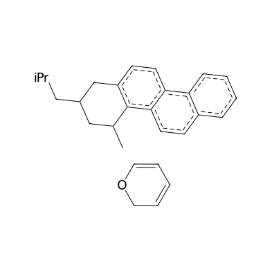 C1=CCOC=C1.CC(C)CC1Cc2ccc3c(ccc4ccccc43)c2C(C)C1